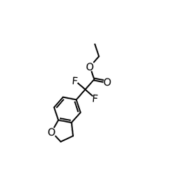 CCOC(=O)C(F)(F)c1ccc2c(c1)CCO2